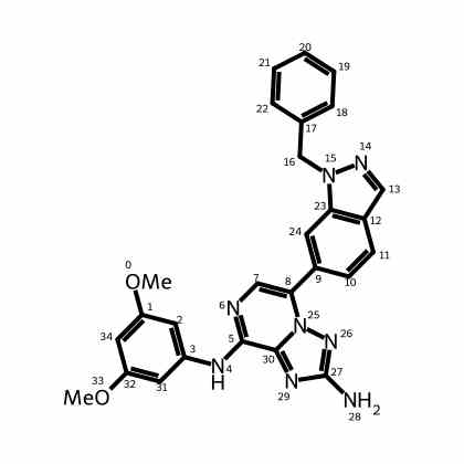 COc1cc(Nc2ncc(-c3ccc4cnn(Cc5ccccc5)c4c3)n3nc(N)nc23)cc(OC)c1